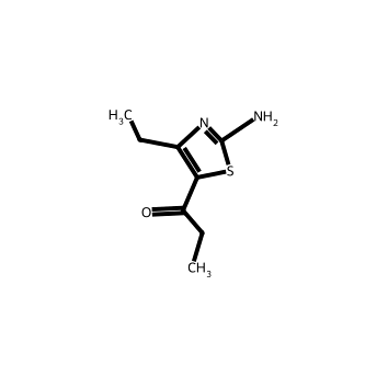 CCC(=O)c1sc(N)nc1CC